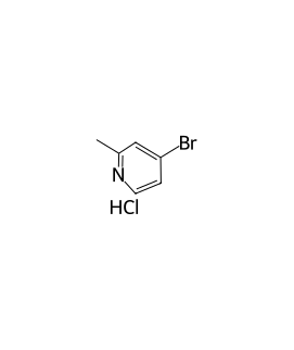 Cc1cc(Br)ccn1.Cl